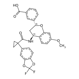 COc1ccc2c(c1)O[C@@H](c1cccc(C(=O)O)c1)C[C@@H]2NC(=O)C1(c2ccc3c(c2)OC(F)(F)O3)CC1